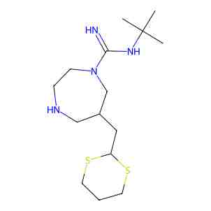 CC(C)(C)NC(=N)N1CCNCC(CC2SCCCS2)C1